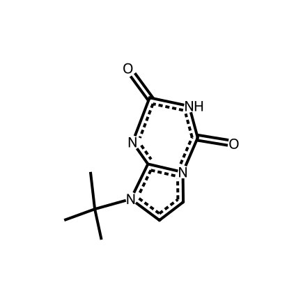 CC(C)(C)n1ccn2c(=O)[nH]c(=O)nc12